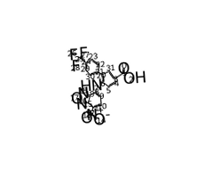 O=C(O)c1ccc(Nc2ccc([N+](=O)[O-])c3nonc23)c(-c2ccc(C(F)(F)F)cc2)c1